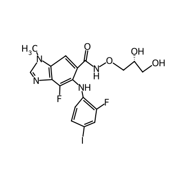 Cn1cnc2c(F)c(Nc3ccc(I)cc3F)c(C(=O)NOC[C@H](O)CO)cc21